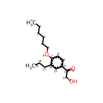 CCCCCCOc1ccc(C(=O)CO)cc1CCC